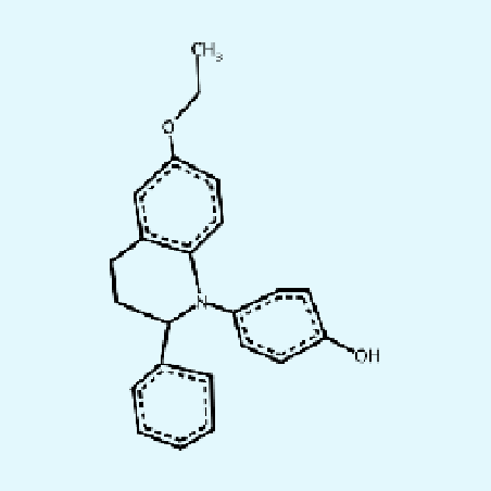 CCOc1ccc2c(c1)CCC(c1ccccc1)N2c1ccc(O)cc1